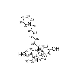 C=CC12CCc3cc(O)ccc3[C@H]1[C@@H](CCCCCCCN1CCCCC1)C[C@]1(C)[C@@H](O)CC[C@@H]21